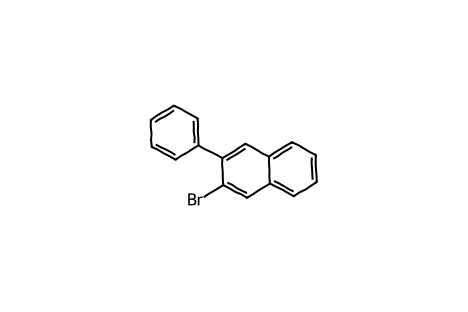 Brc1cc2ccccc2cc1-c1ccccc1